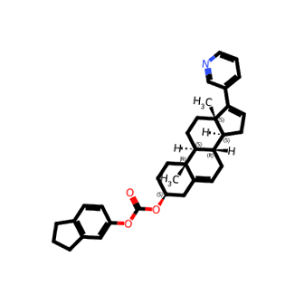 C[C@]12CC[C@H](OC(=O)Oc3ccc4c(c3)CCC4)CC1=CC[C@@H]1[C@@H]2CC[C@]2(C)C(c3cccnc3)=CC[C@@H]12